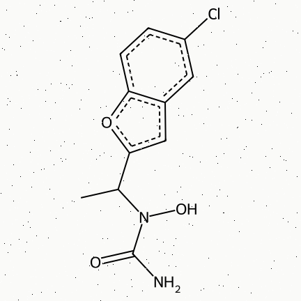 CC(c1cc2cc(Cl)ccc2o1)N(O)C(N)=O